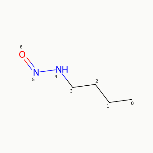 CCCCNN=O